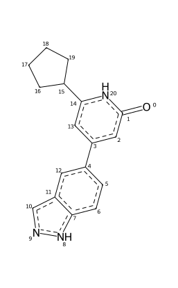 O=c1cc(-c2ccc3[nH]ncc3c2)cc(C2CCCC2)[nH]1